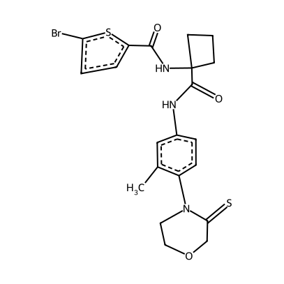 Cc1cc(NC(=O)C2(NC(=O)c3ccc(Br)s3)CCC2)ccc1N1CCOCC1=S